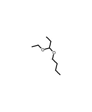 CCC[CH]OC(CC)OCC